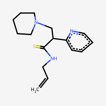 C=CCNC(=S)C(CN1CCCCC1)c1ccccn1